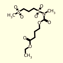 CCOC(=O)CCCOC(=O)N(C)S(=O)(=O)CCCS(C)(=O)=O